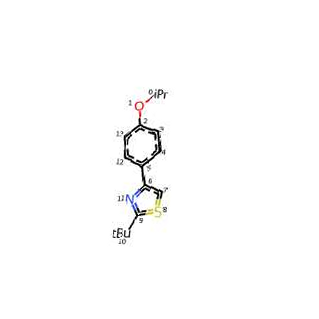 CC(C)Oc1ccc(-c2csc(C(C)(C)C)n2)cc1